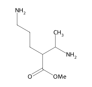 COC(=O)C(CCCN)C(C)N